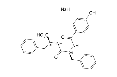 O=C(N[C@@H](Cc1ccccc1)C(=O)N[C@@H](Cc1ccccc1)C(=O)O)c1ccc(O)cc1.[NaH]